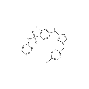 O=S(=O)(Nc1ccncn1)c1ccc(Nc2ccn(Cc3ccc(Cl)cc3)n2)cc1F